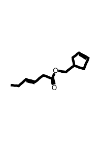 CCC=CCC(=O)OCC1CC=CC1